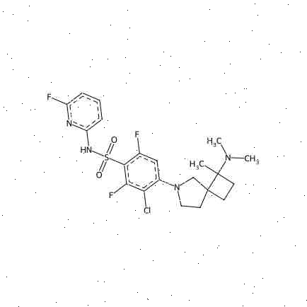 CN(C)C1(C)CCC12CCN(c1cc(F)c(S(=O)(=O)Nc3cccc(F)n3)c(F)c1Cl)C2